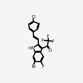 O=C(c1c(/C=C/c2ccc(Cl)cc2)[nH]c2cc(Br)c(F)cc12)C(F)(F)F